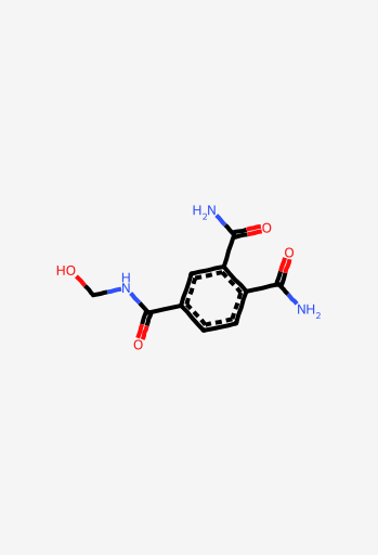 NC(=O)c1ccc(C(=O)NCO)cc1C(N)=O